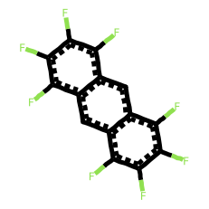 Fc1c(F)c(F)c2cc3c(F)c(F)c(F)c(F)c3cc2c1F